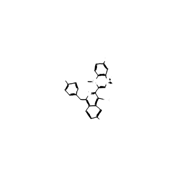 CN1C(c2nc(Cc3ccc(F)cc3)c3ccc(F)cc3c2O)=CS(=O)(=O)c2cc(Cl)ccc21